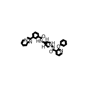 O=C(NC1[C@H]2CN(NC(=O)c3cccnc3Oc3ccccc3)C[C@@H]12)c1cccc(-c2cn3ccccc3n2)c1